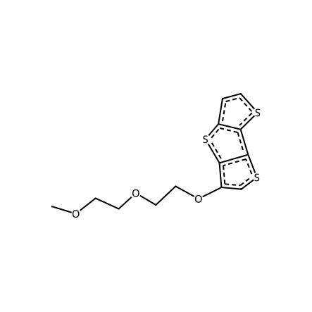 COCCOCCOc1csc2c1sc1ccsc12